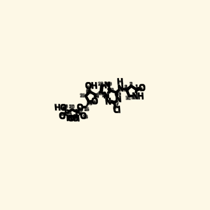 O=C1C[C@H](Nc2nc(Cl)nn3c([C@@H]4O[C@H](COP(=O)(O)CP(=O)(O)O)C[C@H]4O)cnc23)CN1